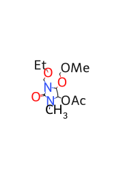 CCOCN1C(=O)N(C)C(OC(C)=O)C1OCOC